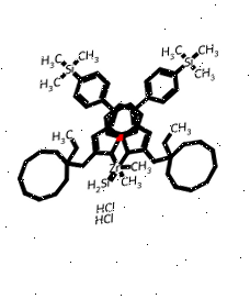 CCC1(CC2=Cc3c(-c4ccc([Si](C)(C)C)cc4)cccc3[CH]2[Zr]([CH3])([CH3])(=[SiH2])[CH]2C(CC3(CC)CCCCCCCC3)=Cc3c(-c4ccc([Si](C)(C)C)cc4)cccc32)CCCCCCCC1.Cl.Cl